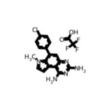 Cn1ccc2c3c(N)nc(N)nc3cc(-c3ccc(Cl)cc3)c21.O=C(O)C(F)(F)F